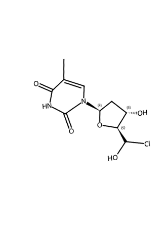 Cc1cn([C@H]2C[C@H](O)[C@@H](C(O)Cl)O2)c(=O)[nH]c1=O